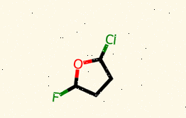 FC1CC[C](Cl)O1